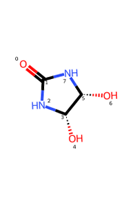 O=C1N[C@@H](O)[C@@H](O)N1